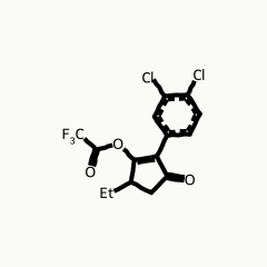 CCC1CC(=O)C(c2ccc(Cl)c(Cl)c2)=C1OC(=O)C(F)(F)F